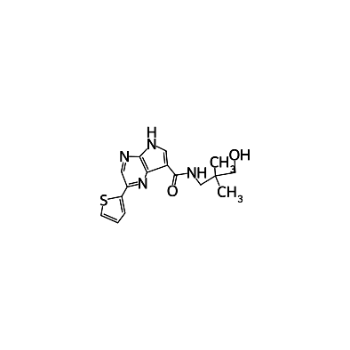 CC(C)(CO)CNC(=O)c1c[nH]c2ncc(-c3cccs3)nc12